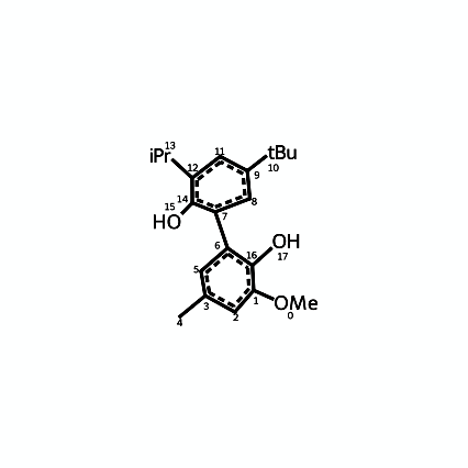 COc1cc(C)cc(-c2cc(C(C)(C)C)cc(C(C)C)c2O)c1O